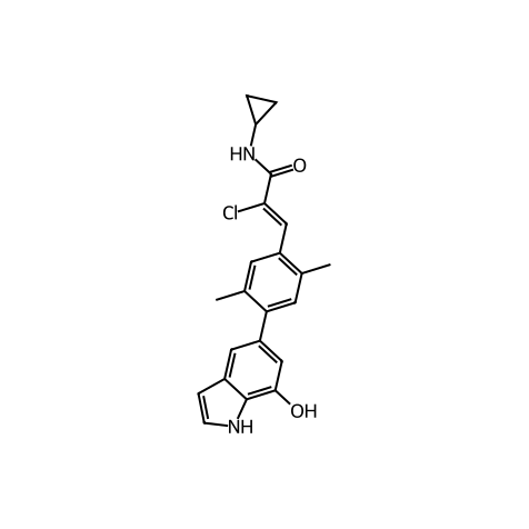 Cc1cc(-c2cc(O)c3[nH]ccc3c2)c(C)cc1/C=C(\Cl)C(=O)NC1CC1